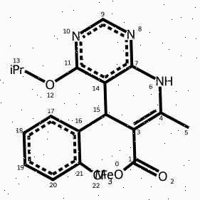 COC(=O)C1=C(C)Nc2ncnc(OC(C)C)c2C1c1ccccc1C(F)(F)F